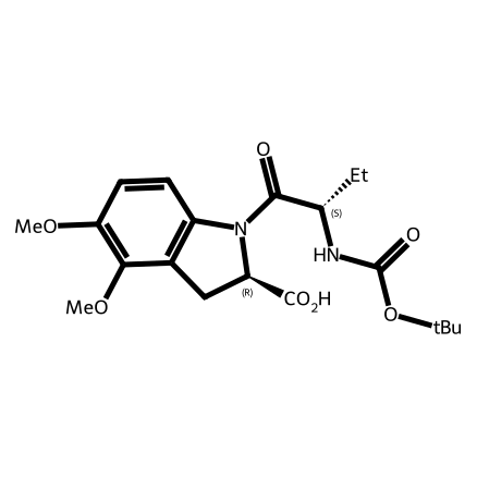 CC[C@H](NC(=O)OC(C)(C)C)C(=O)N1c2ccc(OC)c(OC)c2C[C@@H]1C(=O)O